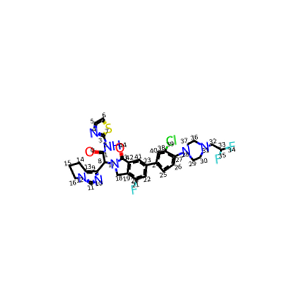 O=C(Nc1nccs1)C(c1ncn2c1CCC2)N1Cc2c(F)cc(-c3ccc(N4CCN(CC(F)F)CC4)c(Cl)c3)cc2C1=O